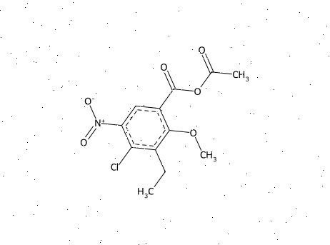 CCc1c(Cl)c([N+](=O)[O-])cc(C(=O)OC(C)=O)c1OC